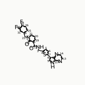 O=C(NCc1ccc(-c2c[nH]c3nccnc23)s1)c1cccn(Cc2ccc(F)c(F)c2)c1=O